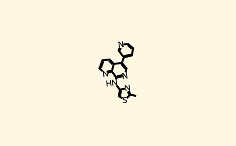 Cc1nc(Nc2ncc(-c3cccnc3)c3cccnc23)cs1